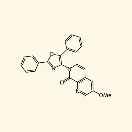 COc1cnc2c(=O)n(-c3nc(-c4ccccc4)oc3-c3ccccc3)ccc2c1